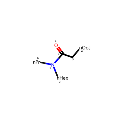 [CH2]CCN(CCCCCC)C(=O)CCCCCCCCC